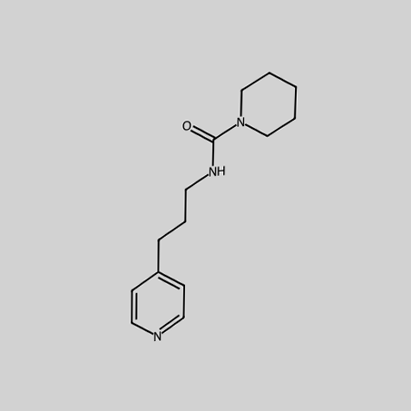 O=C(NCCCc1ccncc1)N1CCCCC1